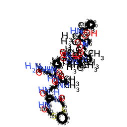 CC[C@H](C)[C@@H]([C@@H](CC(=O)N1CCC[C@H]1[C@H](OC)[C@@H](C)C(=O)N[C@H](C)[C@@H](O)c1ccccc1)OC)N(C)C(=O)[C@@H](NC(=O)[C@H](C(C)C)N(C)C(=O)OCc1ccc(NC(=O)[C@H](CCCNC(N)=O)NC(=O)[C@@H](NC(=O)CCCNC(=O)c2cc3cc(c2)NC(=O)CCSC2CCCCCCC(C2)SCCC(=O)N3)C(C)C)cc1)C(C)C